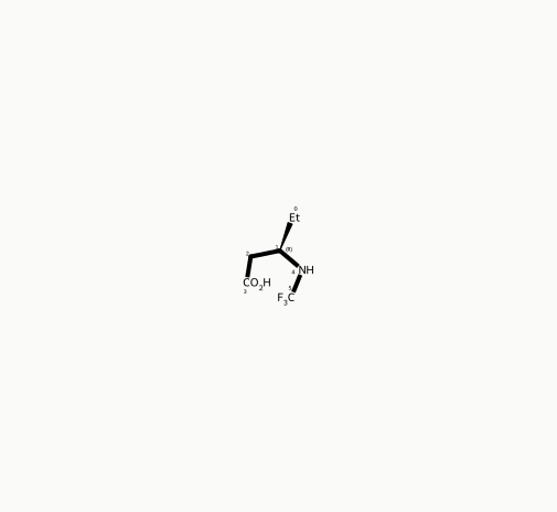 CC[C@H](CC(=O)O)NC(F)(F)F